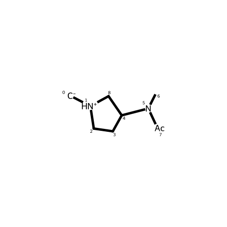 [CH2-][NH+]1CCC(N(C)C(C)=O)C1